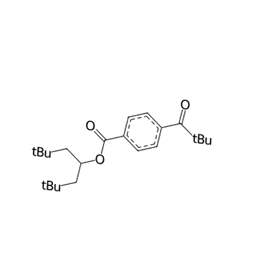 CC(C)(C)CC(CC(C)(C)C)OC(=O)c1ccc(C(=O)C(C)(C)C)cc1